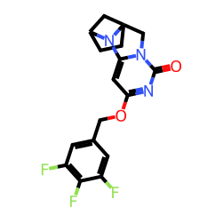 O=c1nc(OCc2cc(F)c(F)c(F)c2)cc2n1CC13CCC(C1)N23